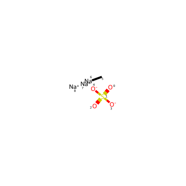 O=S(=O)([O-])[O-].[CH3][Na].[Na+].[Na+]